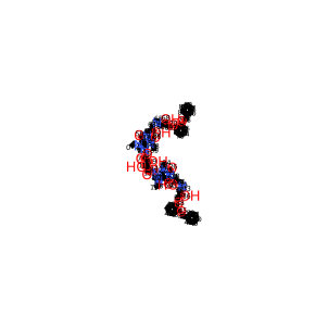 CCN1CN(OC(=O)C(O)C(O)C(=O)ON2CN(CC)c3c2n(CC)c(=O)n(CC(O)CN(C)CC(O)COc2ccccc2OCc2ccccc2)c3=O)c2c1c(=O)n(CC(O)CN(C)CC(O)COc1ccccc1OCc1ccccc1)c(=O)n2CC